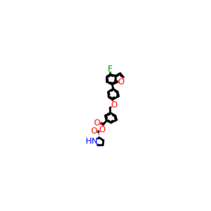 O=C(OC(=O)[C@@H]1CCCN1)c1cccc(COc2ccc(-c3ccc(F)c4ccoc34)cc2)c1